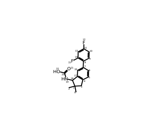 CC1(C)Cc2ccc(-c3ccc(F)cc3F)cc2C1NC(=O)O